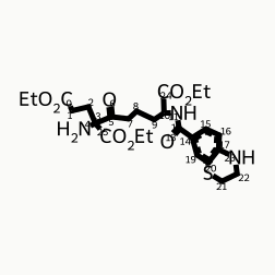 CCOC(=O)CCC(N)(C(=O)CCCC(NC(=O)c1ccc2c(c1)SCCN2)C(=O)OCC)C(=O)OCC